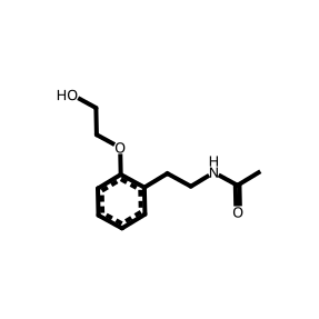 CC(=O)NCCc1ccccc1OCCO